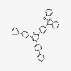 c1ccc(-c2ccc(-c3cc(-c4ccc(-c5c6ccccc6n6c5oc5ccccc56)cc4)nc(-c4ccc(-c5ccccc5)cc4)n3)cc2)cc1